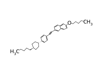 CCCCCOc1ccc2cc(C#Cc3ccc([C@H]4CC[C@H](CCCCC)CC4)cc3)ccc2c1